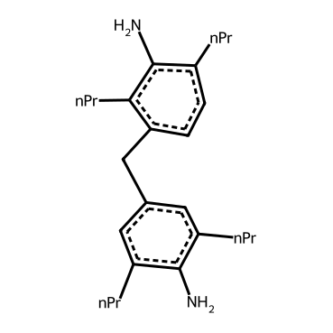 CCCc1cc(Cc2ccc(CCC)c(N)c2CCC)cc(CCC)c1N